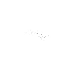 CC(=O)Oc1cccc2oc(C(=O)OCc3ccc(Cl)cc3)c(C)c12